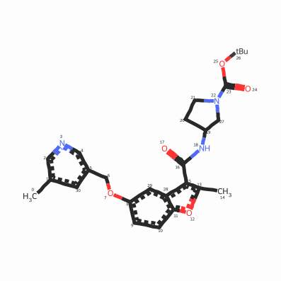 Cc1cncc(COc2ccc3oc(C)c(C(=O)NC4CCN(C(=O)OC(C)(C)C)C4)c3c2)c1